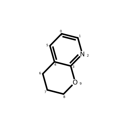 [c]1cnc2c(c1)CCCO2